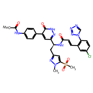 COC(=O)Nc1ccc(-c2cc([C@H](Cc3cc(S(C)(=O)=O)n(C)n3)NC(=O)/C=C/c3cc(Cl)ccc3-n3cnnn3)n[nH]c2=O)cc1